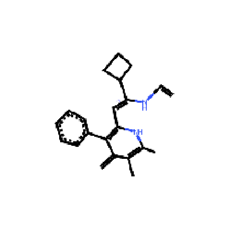 C=CN/C(=C\C1=C(c2ccccc2)C(=C)C(C)=C(C)N1)C1CCC1